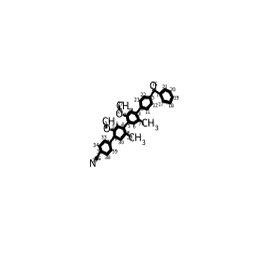 COc1cc(-c2cc(C)c(-c3ccc(C(=O)c4ccccc4)cc3)cc2OC)c(C)cc1-c1ccc(C#N)cc1